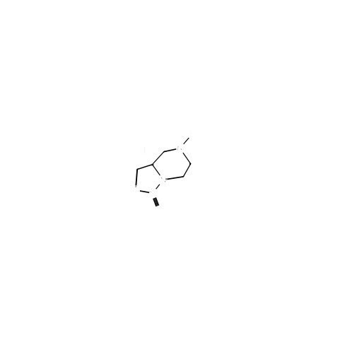 O=C(O)N1CCN2[C@@H](COS2=O)C1